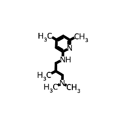 Cc1cc(C)nc(NCC(C)CN(C)C)c1